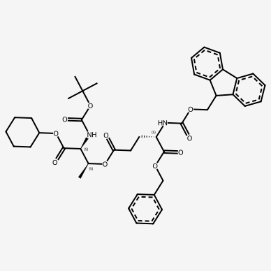 C[C@H](OC(=O)CC[C@H](NC(=O)OCC1c2ccccc2-c2ccccc21)C(=O)OCc1ccccc1)[C@H](NC(=O)OC(C)(C)C)C(=O)OC1CCCCC1